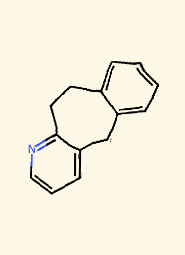 [C]1c2ccccc2CCc2ncccc21